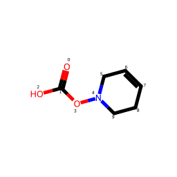 O=C(O)ON1CC=CCC1